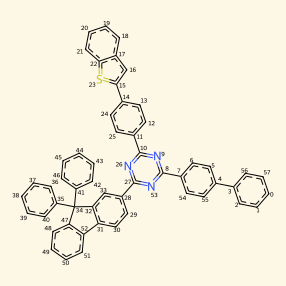 c1ccc(-c2ccc(-c3nc(-c4ccc(-c5cc6ccccc6s5)cc4)nc(-c4ccc5c(c4)C(c4ccccc4)(c4ccccc4)c4ccccc4-5)n3)cc2)cc1